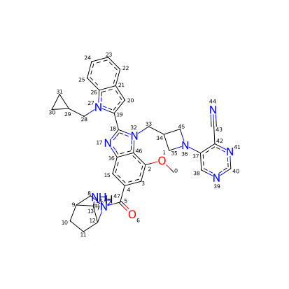 COc1cc(C(=O)N2CC3CCC2[C@@H]3N)cc2nc(-c3cc4ccccc4n3CC3CC3)n(CC3CN(c4cncnc4C#N)C3)c12